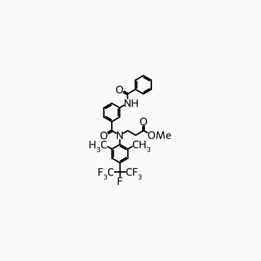 COC(=O)CCN(C(=O)c1cccc(NC(=O)c2ccccc2)c1)c1c(C)cc(C(F)(C(F)(F)F)C(F)(F)F)cc1C